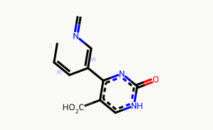 C=N/C=C(\C=C/C)c1nc(=O)[nH]cc1C(=O)O